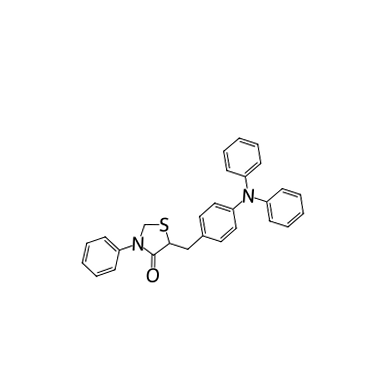 O=C1C(Cc2ccc(N(c3ccccc3)c3ccccc3)cc2)SCN1c1ccccc1